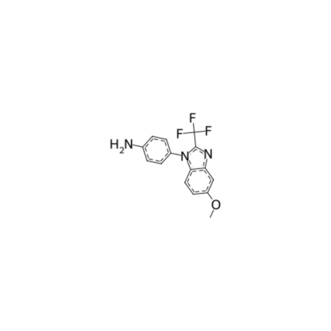 COc1ccc2c(c1)nc(C(F)(F)F)n2-c1ccc(N)cc1